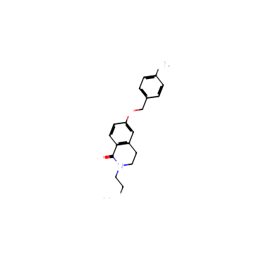 N#Cc1ccc(COc2ccc3c(c2)CCN(CCC(=O)O)C3=O)cc1